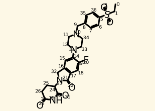 CCS(=O)(=O)c1ccc(CN2CCN(c3cc4c(cc3F)C(=O)N(C3CCC(=O)NC3=O)C4)CC2)cc1